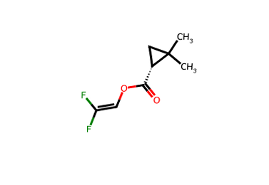 CC1(C)C[C@H]1C(=O)OC=C(F)F